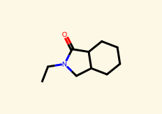 CCN1CC2CCCCC2C1=O